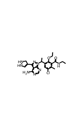 CCNC(=O)c1c(C)c(Cl)cc(C(C)n2nc(C3=CNNC3)c3c(N)ncnc32)c1OCC